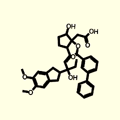 CCC(O)(C=CC1CCC(O)C1(CC(=O)O)OC(=O)c1cccc(-c2ccccc2)c1)C1Cc2cc(OC)c(OC)cc2C1